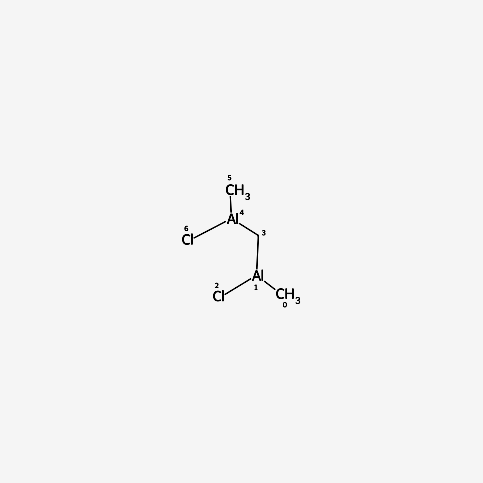 [CH3][Al]([Cl])[CH2][Al]([CH3])[Cl]